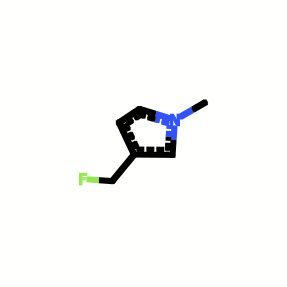 Cn1ccc(CF)c1